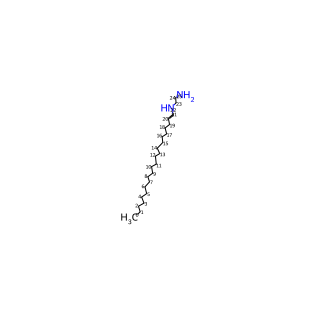 CCCCCCCCCCCCCCCCCCCC/C=C/NCCN